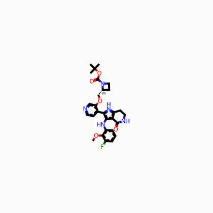 COc1c(F)cccc1Nc1c(-c2ccncc2OC[C@H]2CCN2C(=O)OC(C)(C)C)[nH]c2c1C(=O)NCC2